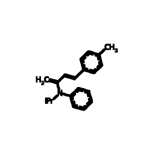 C=C(/C=C/c1ccc(C)cc1)N(c1ccccc1)C(C)C